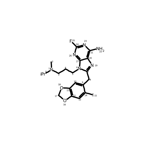 CC(C)N(C)CCCn1c(Cc2cc3c(cc2I)OCO3)nc2c(N)nc(F)nc21